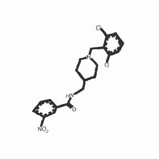 O=C(NCC1CCN(Cc2c(Cl)cccc2Cl)CC1)c1cccc([N+](=O)[O-])c1